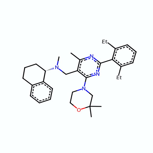 CCc1cccc(CC)c1-c1nc(C)c(CN(C)[C@H]2CCCc3ccccc32)c(N2CCOC(C)(C)C2)n1